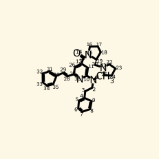 CN(CCc1ccccc1)c1cc(C(=O)N2CCC[C@H]2CN2CCCC2)cc(/C=C/c2ccccc2)n1